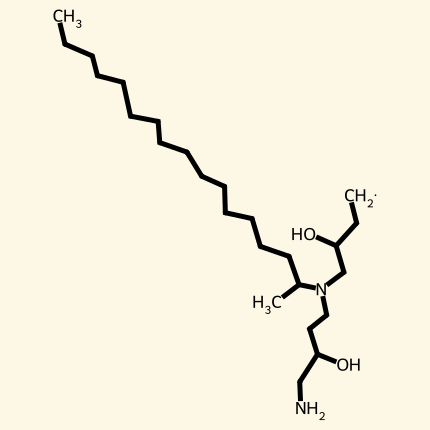 [CH2]CC(O)CN(CCC(O)CN)C(C)CCCCCCCCCCCCCCC